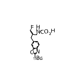 CCCCc1nc2ccc(CC(=CF)CNC(=O)O)cc2o1